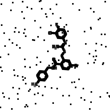 Cc1ccc(CNC(=O)c2ccc(Br)cc2CS/C(N)=N/c2ccc(F)c(Cl)c2)cc1